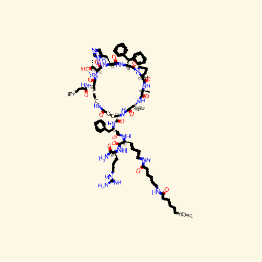 CCCCCCCCCCCCCCCC(=O)NCCCCCC(=O)NCCCC[C@H](NC(=O)C[C@H](Cc1ccccc1)NC(=O)[C@@H]1CCC(=O)NCCC[C@H](NC(=O)CC(C)C)C(=O)N[C@@H]([C@@H](C)O)C(=O)N[C@@H](Cc2cnc[nH]2)C(=O)N[C@@H](C(c2ccccc2)c2ccccc2)C(=O)N2CCC[C@H]2C(=O)N[C@@H](C)C(=O)N[C@@H]([C@@H](C)CC)C(=O)N1)C(=O)N[C@@H](CCCNC(=N)N)C(N)=O